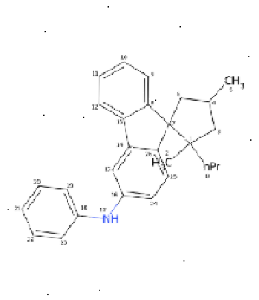 CCCC1(C)CC(C)CC12c1ccccc1-c1cc(Nc3ccccc3)ccc12